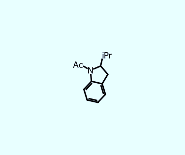 CC(=O)N1c2ccccc2CC1C(C)C